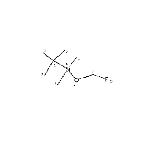 CC(C)(C)[Si](C)(C)OCF